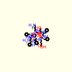 C[C@@H](O)[C@H](NC(=O)[C@H](CCC(F)CN)NC(=O)[C@@H](Cc1c[nH]c2ccccc12)NC(=O)[C@H](Cc1ccccc1)NC(=O)[C@@H](N)Cc1ccccc1)C(=O)N[C@@H](Cc1ccccc1)C(=O)N[C@@H](Cc1ccccc1)C(=O)NCCCC(=O)O